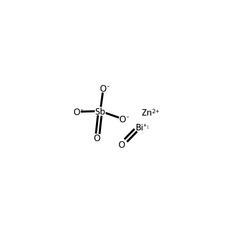 [O]=[Bi+].[O]=[Sb]([O-])([O-])[O-].[Zn+2]